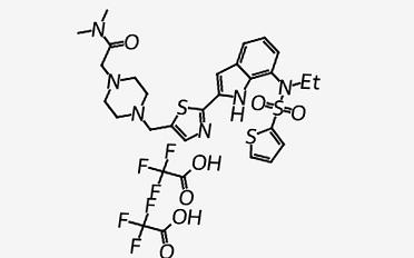 CCN(c1cccc2cc(-c3ncc(CN4CCN(CC(=O)N(C)C)CC4)s3)[nH]c12)S(=O)(=O)c1cccs1.O=C(O)C(F)(F)F.O=C(O)C(F)(F)F